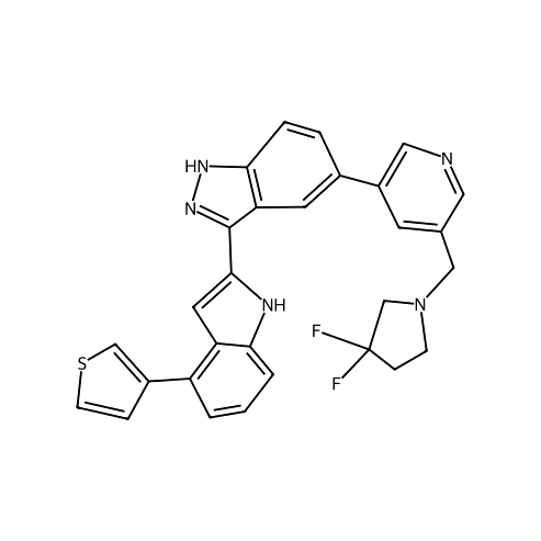 FC1(F)CCN(Cc2cncc(-c3ccc4[nH]nc(-c5cc6c(-c7ccsc7)cccc6[nH]5)c4c3)c2)C1